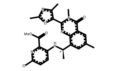 COC(=O)c1nc(Cl)ccc1N[C@H](C)c1cc(C)cc2c(=O)n(C)c(-c3oc(C)nc3C)nc12